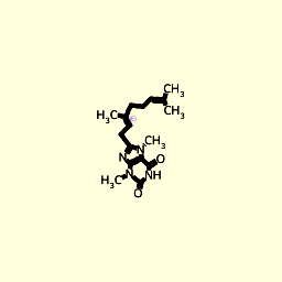 CC(C)=CCC/C(C)=C/Cc1nc2c(c(=O)[nH]c(=O)n2C)n1C